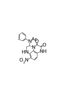 CC(=O)N(c1ccccc1)C1CNc2c([N+](=O)[O-])ccc3[nH]c(=O)c(=O)n1c23